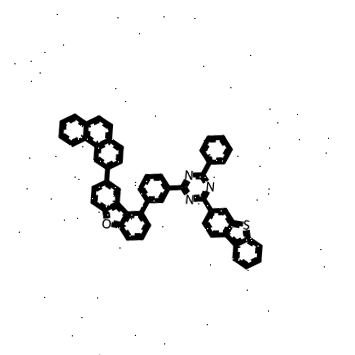 c1ccc(-c2nc(-c3cccc(-c4cccc5oc6ccc(-c7ccc8ccc9ccccc9c8c7)cc6c45)c3)nc(-c3ccc4c(c3)sc3ccccc34)n2)cc1